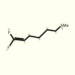 CSCCCCC=C(F)F